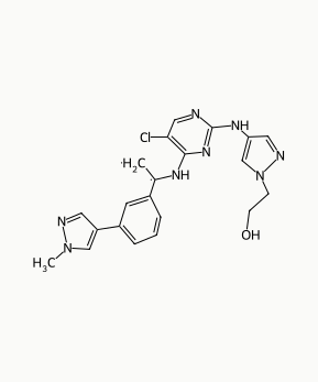 [CH2][C](Nc1nc(Nc2cnn(CCO)c2)ncc1Cl)c1cccc(-c2cnn(C)c2)c1